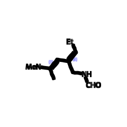 CC/C=C(\C=C(/C)NC)CNC=O